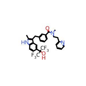 Cc1[nH]c2ccc(C(O)(C(F)(F)F)C(F)(F)F)cc2c1Cc1cccc(C(=O)N(C)CCc2ccccn2)c1